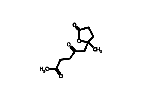 CC(=O)CCC(=O)CC1(C)CCC(=O)O1